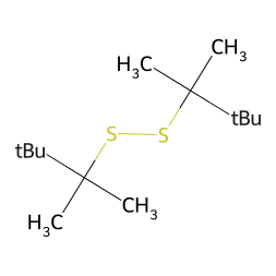 CC(C)(C)C(C)(C)SSC(C)(C)C(C)(C)C